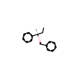 CC[C@@](C)(B=Cc1ccccc1)c1ccccc1